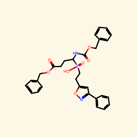 O=C(CCC(NC(=O)OCc1ccccc1)P(=O)(O)CCc1cc(-c2ccccc2)no1)OCc1ccccc1